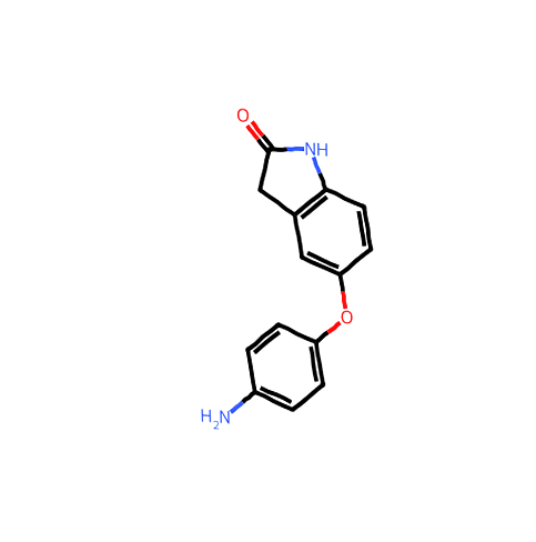 Nc1ccc(Oc2ccc3c(c2)CC(=O)N3)cc1